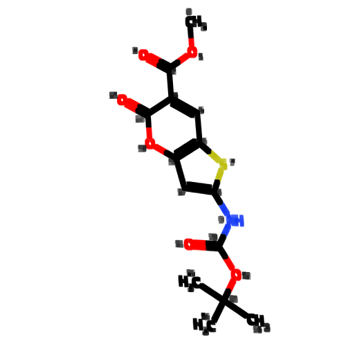 COC(=O)c1cc2sc(NC(=O)OC(C)(C)C)cc2oc1=O